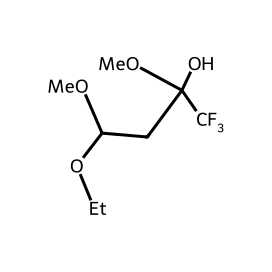 CCOC(CC(O)(OC)C(F)(F)F)OC